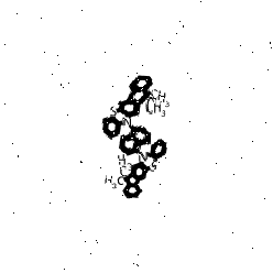 CC1(C)c2ccccc2-c2cc3c(cc21)N(c1cccc2c(N4c5ccccc5Sc5cc6c(cc54)C(C)(C)c4ccccc4-6)cccc12)c1ccccc1S3